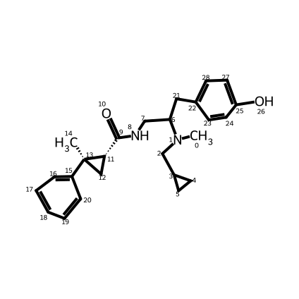 CN(CC1CC1)C(CNC(=O)[C@@H]1C[C@@]1(C)c1ccccc1)Cc1ccc(O)cc1